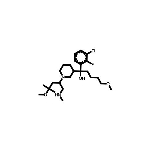 CNCC(CC(C)(C)OC)N1CCCC([C@@](O)(CCCCOC)c2cccc(Cl)c2F)C1